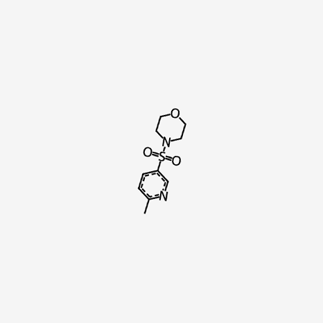 Cc1ccc(S(=O)(=O)N2CCOCC2)cn1